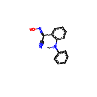 CN(c1ccccc1)c1ccccc1C(C#N)=NO